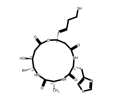 CC(C)[C@H]1NC(=O)[C@@H](C)NC(=O)[C@@H](Cc2cscn2)NC(=O)C[C@@H](C=CCCS)OC(=O)C[C@@H]1O